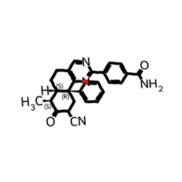 C[C@@H]1C(=O)C(C#N)C[C@@]2(c3ccccc3)c3nc(-c4ccc(C(N)=O)cc4)ncc3CC[C@@H]12